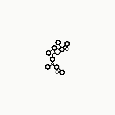 c1ccc(-c2cccc3c2C(Cc2ccc(N(c4ccccc4)c4ccc5c(c4)oc4ccccc45)cc2)CCc2cc4oc5ccccc5c4c(-c4ccccc4)c2-3)cc1